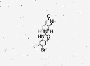 O=C(Nc1cc(Cl)c(Br)cc1F)N1[C@H]2CC[C@@H]1c1c[nH]c(=O)cc1C2